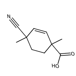 CC1(C#N)C=CC(C)(C(=O)O)CC1